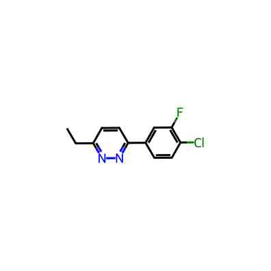 CCc1ccc(-c2ccc(Cl)c(F)c2)nn1